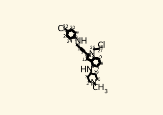 CN1CCC(Nc2cccc3c2cc(C#CCNc2ccc(Cl)cc2)n3CCCl)CC1